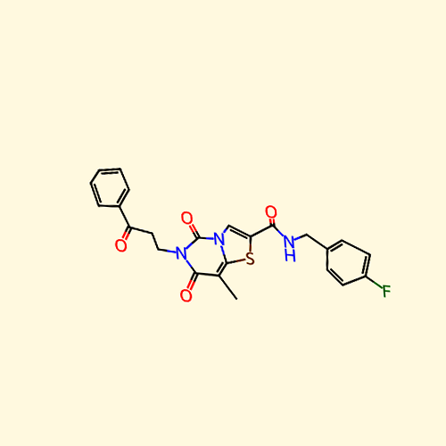 Cc1c(=O)n(CCC(=O)c2ccccc2)c(=O)n2cc(C(=O)NCc3ccc(F)cc3)sc12